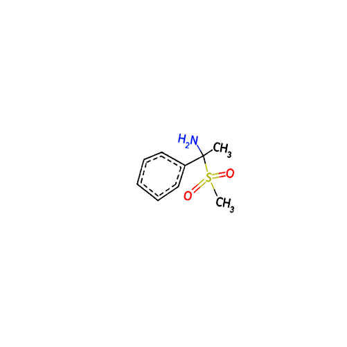 CC(N)(c1ccccc1)S(C)(=O)=O